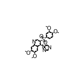 COc1ccc(S(=O)(=O)c2cnc3cc(OC)c(OC)cc3c2-n2cncn2)cc1OC